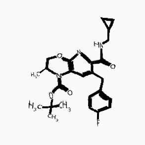 C[C@H]1COc2nc(C(=O)NCC3CC3)c(Cc3ccc(F)cc3)cc2N1C(=O)OC(C)(C)C